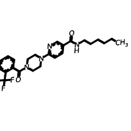 CCCCCCNC(=O)c1ccc(N2CCN(C(=O)c3ccccc3C(F)(F)F)CC2)nc1